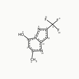 Cc1cc(O)n2nc(C(F)(F)F)cc2n1